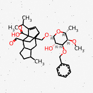 CO[C@H]1[C@@H](OCc2ccccc2)[C@H](O)[C@H](OCC23CC4C(C)CCC4C4(C=O)CC2C=C(C(C)C)C43C(=O)O)O[C@@H]1C